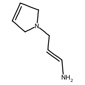 NC=CCN1CC=CC1